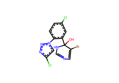 OC1(c2cc(Cl)ccc2-n2cc(Cl)nn2)NC=NC=C1Br